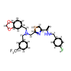 C=C(NCc1ccc(F)cc1)c1csc(CN(Cc2cccc(C(F)(F)F)c2)Cc2ccc3c(c2)OCO3)n1